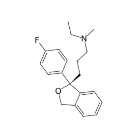 CCN(C)CCC[C@]1(c2ccc(F)cc2)OCc2ccccc21